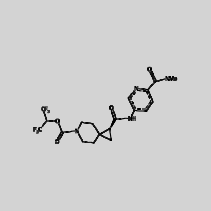 CNC(=O)c1ccc(NC(=O)[C@H]2CC23CCN(C(=O)OC(C(F)(F)F)C(F)(F)F)CC3)cn1